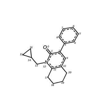 O=c1c(-c2ccccc2)cc2c(n1CC1CC1)CCCC2